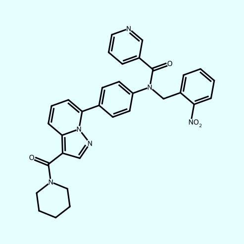 O=C(c1cnn2c(-c3ccc(N(Cc4ccccc4[N+](=O)[O-])C(=O)c4cccnc4)cc3)cccc12)N1CCCCC1